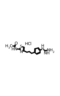 CC(=O)Nc1nc(CCCc2ccc(NC(=N)N)cc2)cs1.Cl